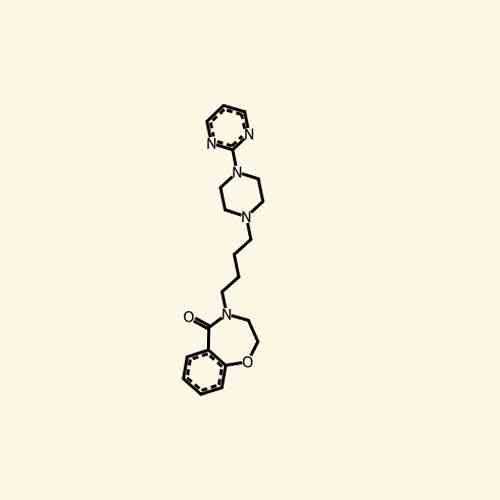 O=C1c2ccccc2OCCN1CCCCN1CCN(c2ncccn2)CC1